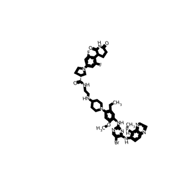 CCc1cc(Nc2ncc(Br)c(Nc3ccc4nccnc4c3PC)n2)c(OC)cc1N1CCC(NCCNC(=O)[C@@H]2CCN(c3cc(F)c(C4CCC(=O)NC4=O)c(F)c3)C2)CC1